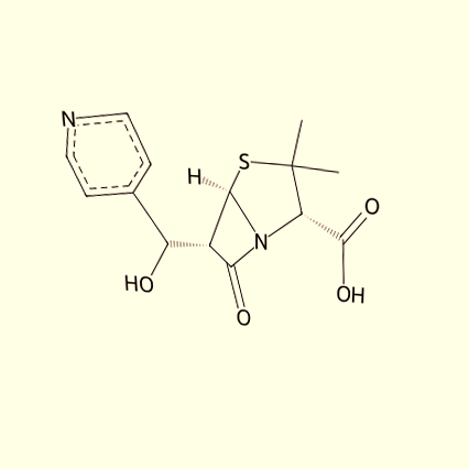 CC1(C)S[C@@H]2[C@@H](C(O)c3ccncc3)C(=O)N2[C@H]1C(=O)O